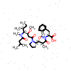 CC[C@H](C)[C@@H](C(CC(=O)N1CCC[C@H]1[C@H](OC)[C@@H](C)C(=O)N[C@@H](Cc1ccccc1)C(=O)O)OC)N(C)C(=O)CC(C)C